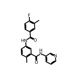 Cc1cc(C(=O)Nc2ccc(C)c(C(=O)Nc3cccnc3)c2)ccc1F